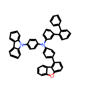 c1ccc(-c2ccccc2-c2cccc(N(c3ccc(-c4cccc5oc6ccccc6c45)cc3)c3ccc(-n4c5ccccc5c5ccccc54)cc3)c2)cc1